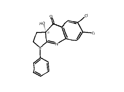 O=C1c2cc(Cl)c(Cl)cc2N=C2N(c3ccccc3)CC[C@@]12O